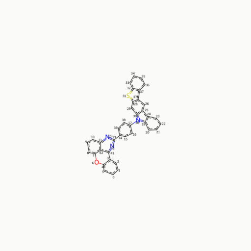 c1ccc2c(c1)Oc1cccc3nc(-c4ccc(-n5c6ccccc6c6cc7c(cc65)sc5ccccc57)cc4)nc-2c13